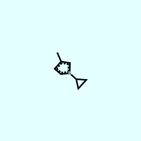 [CH2]c1ccn(C2CC2)c1